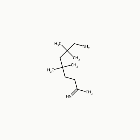 CC(=N)CCC(C)(C)CC(C)(C)CN